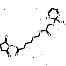 CC1(SCC(=O)NCCCCCC(=O)ON2C(=O)CCC2=O)N=CC=CN1